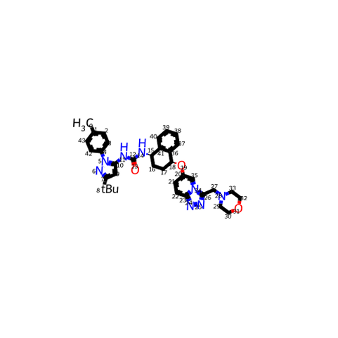 Cc1ccc(-n2nc(C(C)(C)C)cc2NC(=O)N[C@H]2CC[C@@H](Oc3ccc4nnc(CN5CCOCC5)n4c3)c3ccccc32)cc1